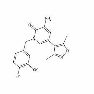 Cc1noc(C)c1-c1cc(N)c(=O)n(Cc2ccc(Br)c(C#N)c2)c1